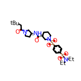 CCN(CC)S(=O)(=O)c1ccc(S(=O)(=O)N2CCC[C@@H](C(=O)N[C@@H]3CCN(C(=O)CC(C)(C)C)C3)C2)cc1